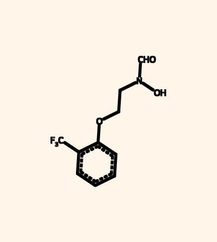 O=CN(O)CCOc1ccccc1C(F)(F)F